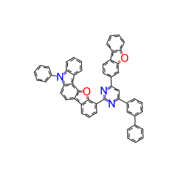 c1ccc(-c2cccc(-c3cc(-c4ccc5c(c4)oc4ccccc45)nc(-c4cccc5c4oc4c5ccc5c4c4ccccc4n5-c4ccccc4)n3)c2)cc1